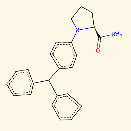 NC(=O)[C@@H]1CCCN1c1ccc(C(c2ccccc2)c2ccccc2)cc1